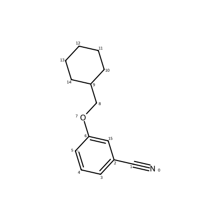 N#Cc1cc[c]c(OCC2CCCCC2)c1